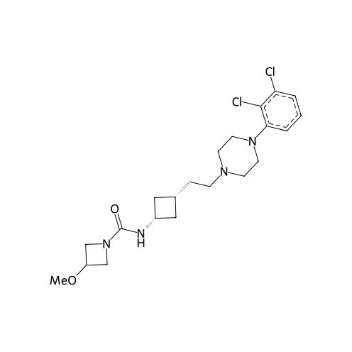 COC1CN(C(=O)N[C@H]2C[C@@H](CCN3CCN(c4cccc(Cl)c4Cl)CC3)C2)C1